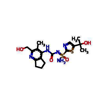 Cc1c(CO)nc2c(c1NC(=O)N=S(N)(=O)c1ncc(C(C)(C)O)s1)CCC2